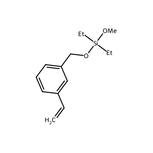 C=Cc1cccc(CO[Si](CC)(CC)OC)c1